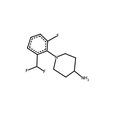 NC1CCN(c2c(F)cccc2C(F)F)CC1